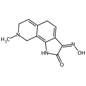 CN1CC=C2CC=C3C(=NO)C(=O)NC3=C2C1